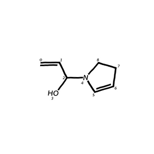 C=CC(O)N1C=CCC1